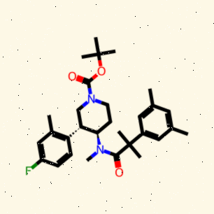 Cc1cc(C)cc(C(C)(C)C(=O)N(C)[C@@H]2CCN(C(=O)OC(C)(C)C)C[C@H]2c2ccc(F)cc2C)c1